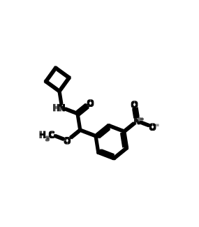 COC(C(=O)NC1CCC1)c1cccc([N+](=O)[O-])c1